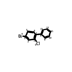 Clc1cc(Br)ccc1-c1[c]cccc1